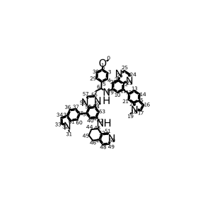 COc1ccc(C(C)Nc2cc(-c3ccc4ccn(C)c4c3)c3nccnc3c2)cc1.Cn1ccc2ccc(-c3cc(NC4CCCc5ccncc54)cc4nccnc34)cc21